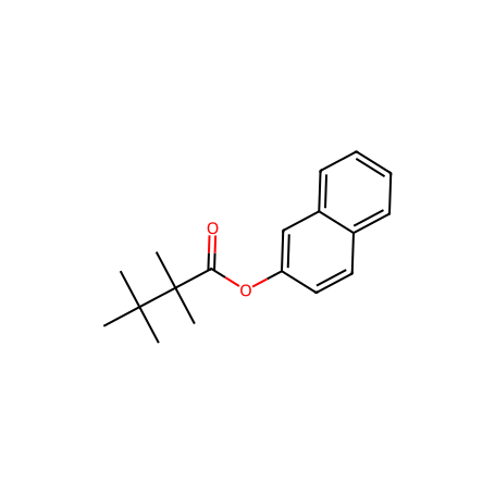 CC(C)(C)C(C)(C)C(=O)Oc1ccc2ccccc2c1